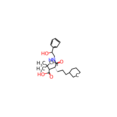 CC(C)(C)C(C(=O)O)[C@@H](CCCC1CCCCC1)C(=O)NCC(O)c1ccccc1